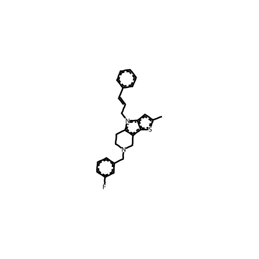 Cc1cc2c(s1)c1c(n2C/C=C/c2ccccc2)CCN(Cc2cccc(F)c2)C1